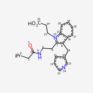 CC(C)CC(=O)NCCc1c(Cc2cccnc2)c2ccccc2n1CCC(=O)O